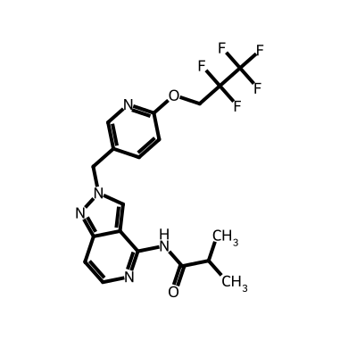 CC(C)C(=O)Nc1nccc2nn(Cc3ccc(OCC(F)(F)C(F)(F)F)nc3)cc12